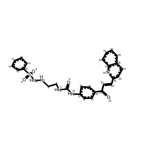 O=C(NCCNNS(=O)(=O)c1ccccc1)Nc1ccc(C(=O)C=Cc2ccc3ccccc3n2)cc1